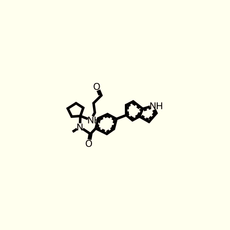 CN(C(=O)c1ccc(-c2ccc3[nH]ccc3c2)cc1)C1(NCCC=O)CCCC1